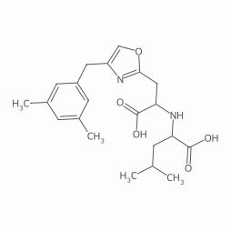 Cc1cc(C)cc(Cc2coc(CC(NC(CC(C)C)C(=O)O)C(=O)O)n2)c1